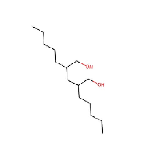 CCCCCC(CO)CC(CO)CCCCC